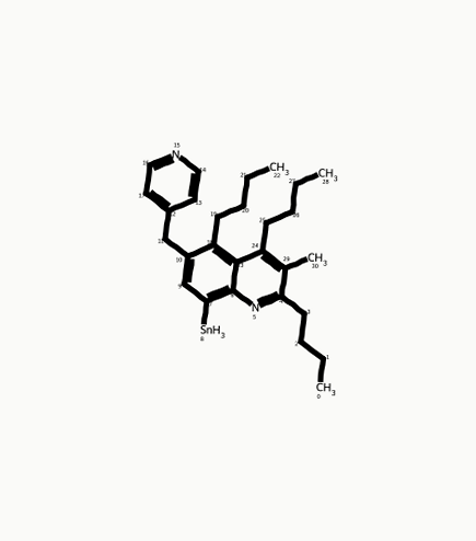 CCCCc1nc2[c]([SnH3])cc(Cc3ccncc3)c(CCCC)c2c(CCCC)c1C